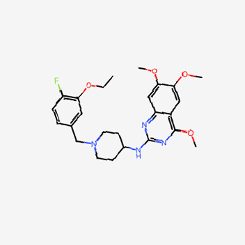 CCOc1cc(CN2CCC(Nc3nc(OC)c4cc(OC)c(OC)cc4n3)CC2)ccc1F